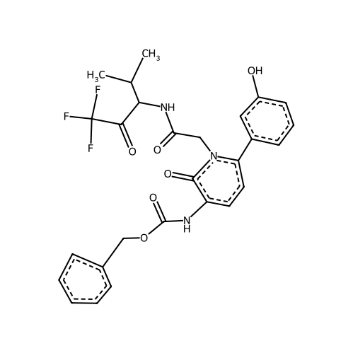 CC(C)C(NC(=O)Cn1c(-c2cccc(O)c2)ccc(NC(=O)OCc2ccccc2)c1=O)C(=O)C(F)(F)F